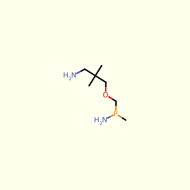 CP(N)COCC(C)(C)CN